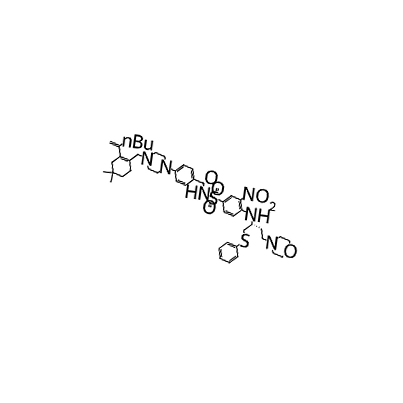 C=C(CCCC)C1=C(CN2CCN(c3ccc(C(=O)NS(=O)(=O)c4ccc(N[C@H](CCN5CCOCC5)CSc5ccccc5)c([N+](=O)[O-])c4)cc3)CC2)CCC(C)(C)C1